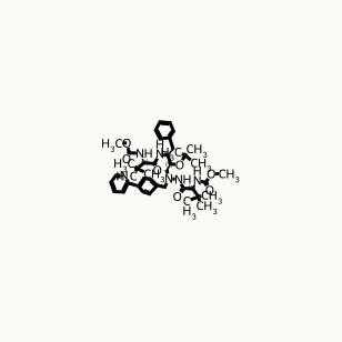 COC(=O)N[C@H](C(=O)N[C@@H](Cc1ccccc1)[C@H](CN(Cc1ccc(-c2ccccn2)cc1)NC(=O)[C@@H](NC(=O)OC)C(C)(C)C)OC(C)(C)C)C(C)(C)C